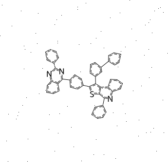 c1ccc(-c2cccc(-c3c(-c4ccc(-c5nc(-c6ccccc6)nc6ccccc56)cc4)sc4c(-c5ccccc5)nc5ccccc5c34)c2)cc1